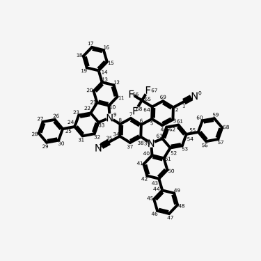 N#Cc1ccc(-c2cc(-n3c4ccc(-c5ccccc5)cc4c4cc(-c5ccccc5)ccc43)c(C#N)cc2-n2c3ccc(-c4ccccc4)cc3c3cc(-c4ccccc4)ccc32)c(C(F)(F)F)c1